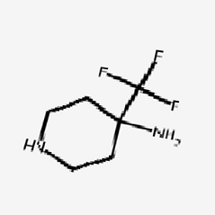 NC1(C(F)(F)F)CCNCC1